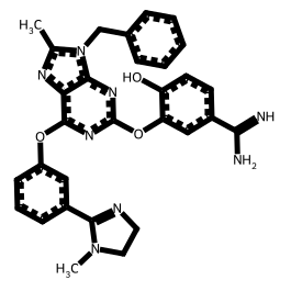 Cc1nc2c(Oc3cccc(C4=NCCN4C)c3)nc(Oc3cc(C(=N)N)ccc3O)nc2n1Cc1ccccc1